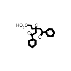 O=C(O)CCC(Cl)(CC(=O)c1ccccc1)CC(=O)c1ccccc1